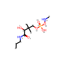 CCCNC(=O)C(O)C(C)(C)COP(=O)(O)ONC